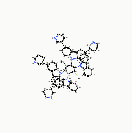 CC(C)(C)c1c(-n2c3ccc(-c4cccnc4)cc3c3cc(-c4cccnc4)ccc32)c(-n2c3ccccc3c3ccccc32)c(F)c(-n2c3ccccc3c3ccccc32)c1-n1c2ccc(-c3cccnc3)cc2c2cc(-c3cccnc3)ccc21